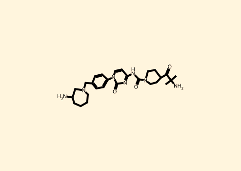 CC(C)(N)C(=O)C1CCN(C(=O)Nc2ccn(-c3ccc(CN4CCCCC(N)C4)cc3)c(=O)n2)CC1